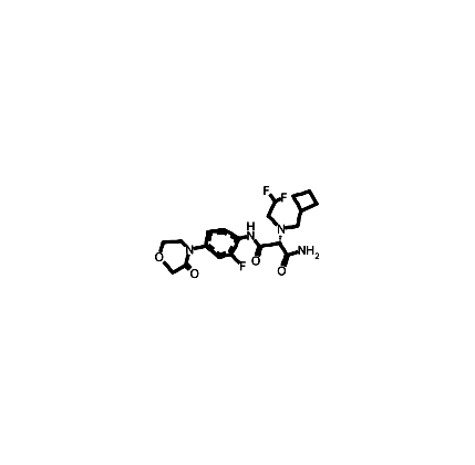 NC(=O)[C@H](C(=O)Nc1ccc(N2CCOCC2=O)cc1F)N(CC(F)F)CC1CCC1